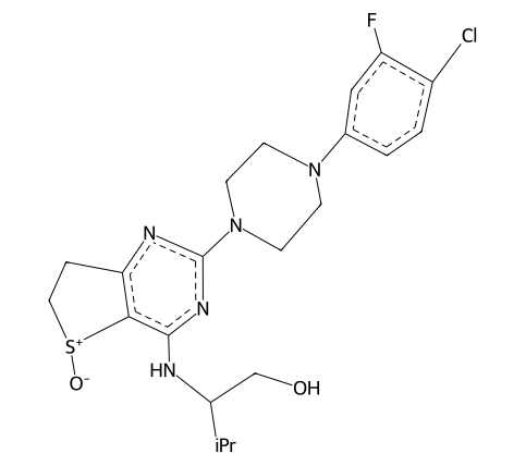 CC(C)C(CO)Nc1nc(N2CCN(c3ccc(Cl)c(F)c3)CC2)nc2c1[S+]([O-])CC2